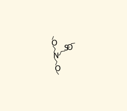 CCOCCCN(CCCOCC)CCCSOCC